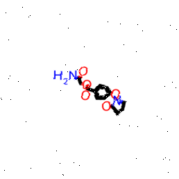 NC(=O)COC(=O)c1ccc(ON2CCCC2=O)cc1